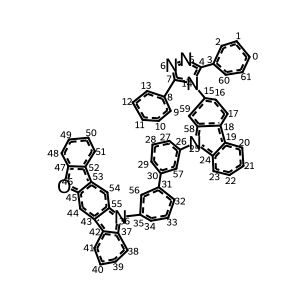 c1ccc(-c2nnc(-c3ccccc3)n2-c2ccc3c4ccccc4n(-c4cccc(-c5cccc(-n6c7ccccc7c7cc8oc9ccccc9c8cc76)c5)c4)c3c2)cc1